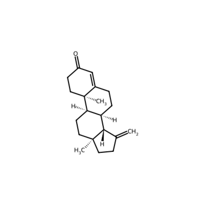 C=C1CC[C@@]2(C)CC[C@@H]3[C@@H](CCC4=CC(=O)CC[C@@]43C)[C@H]12